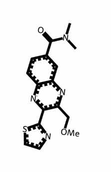 COCc1nc2cc(C(=O)N(C)C)ccc2nc1-c1nccs1